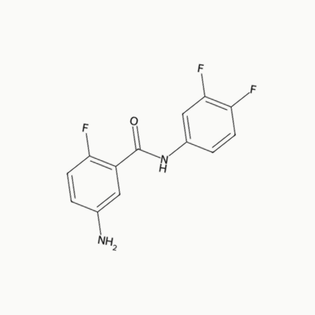 Nc1ccc(F)c(C(=O)Nc2ccc(F)c(F)c2)c1